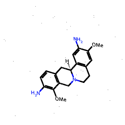 COc1cc2c(cc1N)[C@@H]1Cc3ccc(N)c(OC)c3CN1CC2